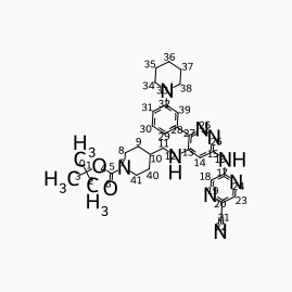 CC(C)(C)OC(=O)N1CCC(CNc2cc(Nc3cnc(C#N)cn3)nnc2-c2cccc(N3CCCCC3)c2)CC1